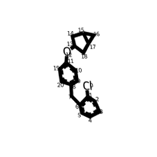 Clc1ccccc1Cc1ccc(OC2CC3CC3C2)cc1